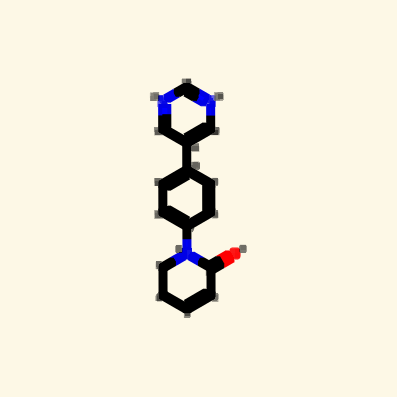 O=C1C=CCCN1c1ccc(-c2cncnc2)cc1